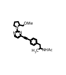 COCC1CCCN1c1nccc(C#Cc2ccc(CC(C)NC(C)=O)cc2)n1